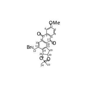 COc1ccc2c(c1)C(=O)c1cc(CBr)c3c(c1C2=O)CC1OC(C)(C)OC31